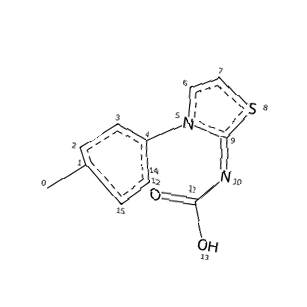 Cc1ccc(-n2ccs/c2=N/C(=O)O)cc1